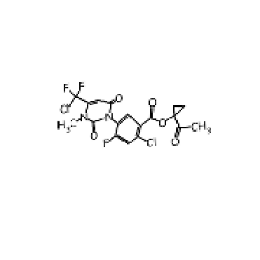 CC(=O)C1(OC(=O)c2cc(-n3c(=O)cc(C(F)(F)Cl)n(C)c3=O)c(F)cc2Cl)CC1